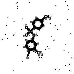 Cc1ccc(S(=O)(=O)Oc2ccc(F)c(C(F)(F)F)c2)cc1